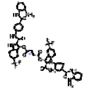 NC(=O)c1c(OC(=O)/C=C/C(=O)Oc2c(C(=O)Nc3ccc(C(=O)Nc4ccccc4N)cc3)[nH]c3ccc(C(F)(F)F)cc23)c2cc(C(F)(F)F)ccc2n1-c1ccc(C(=O)Nc2ccccc2N)cc1